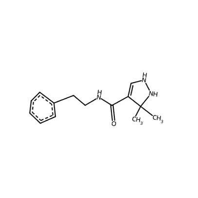 CC1(C)NNC=C1C(=O)NCCc1ccccc1